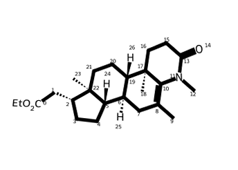 CCOC(=O)C[C@H]1CC[C@H]2[C@@H]3CC(C)=C4N(C)C(=O)CC[C@]4(C)[C@H]3CC[C@]12C